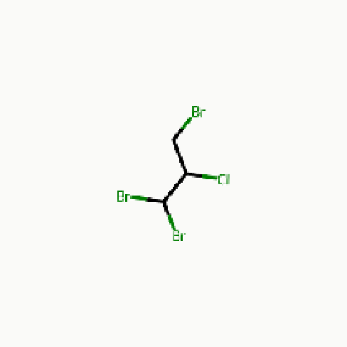 ClC(CBr)C(Br)Br